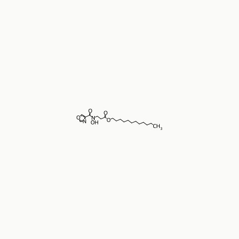 CCCCCCCCCCCCOC(=O)CCN(O)C(=O)c1cocn1